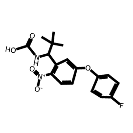 CC(C)(C)C(NC(=O)O)c1cc(Oc2ccc(F)cc2)ccc1[N+](=O)[O-]